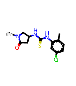 Cc1ccc(Cl)cc1NC(=S)NC1CC(=O)N(C(C)C)C1